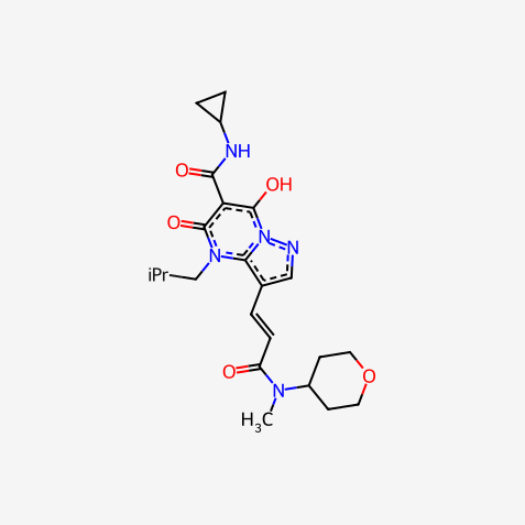 CC(C)Cn1c(=O)c(C(=O)NC2CC2)c(O)n2ncc(C=CC(=O)N(C)C3CCOCC3)c12